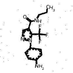 CCCNC(=O)c1cnn(-c2ccc(N)cc2)c1C(F)(F)F